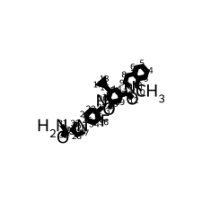 C[C@@H]1c2ccccc2CCN1C(=O)c1cc(C2CC2)c2nc(-c3ccc(N4CC[C@H](C(N)=O)C4)cc3F)oc2c1